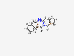 CCN(CC)C(Cc1cccs1)=Nc1cc2ccccc2s1